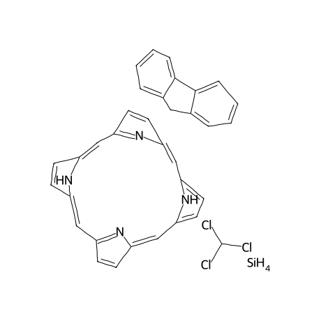 C1=Cc2cc3ccc(cc4nc(cc5ccc(cc1n2)[nH]5)C=C4)[nH]3.ClC(Cl)Cl.[SiH4].c1ccc2c(c1)Cc1ccccc1-2